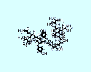 CC(C)[C@H](NC(=O)[C@H](CCC(N)=O)NC(=O)[C@H](C)NC(=O)[C@H](Cc1ccc(O)cc1)NC(=O)[C@H](Cc1ccc(O)cc1)NC(=O)CNC(=O)[C@H](CO)NC(=O)[C@H](CO)NC(=O)[C@H](CC(=O)O)NC(=O)[C@H](CCCNC(=N)N)NC(=O)[C@H](CO)NC(=O)[C@H](C)N)C(=O)O